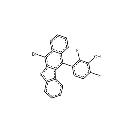 Oc1c(F)ccc(-c2c3ccccc3c(Br)c3sc4ccccc4c23)c1F